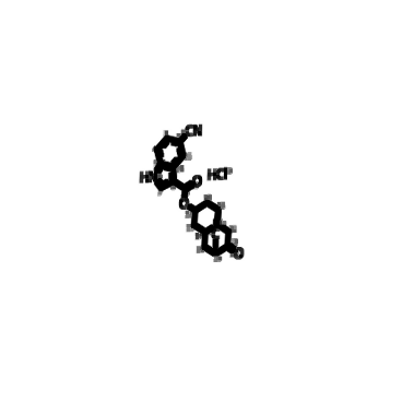 Cl.N#Cc1ccc2[nH]cc(C(=O)OC3CC4CC5CC(C3)N4CC5=O)c2c1